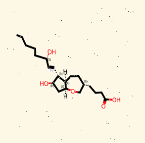 CCCCC[C@H](O)/C=C/[C@@H]1[C@H]2CC[C@H](CCCC(=O)O)CO[C@H]2C[C@H]1O